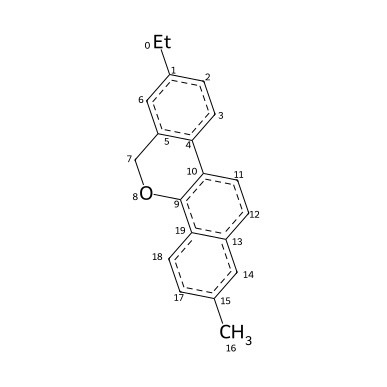 CCc1ccc2c(c1)COc1c-2ccc2cc(C)ccc12